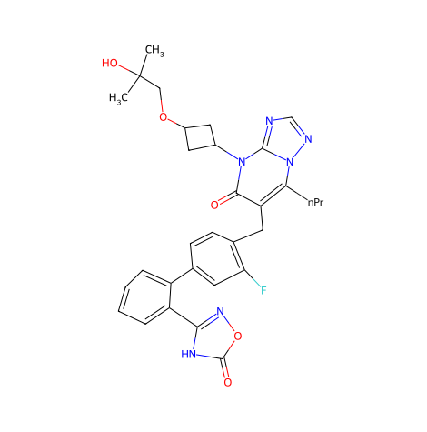 CCCc1c(Cc2ccc(-c3ccccc3-c3noc(=O)[nH]3)cc2F)c(=O)n(C2CC(OCC(C)(C)O)C2)c2ncnn12